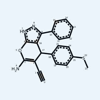 C#CC1=C(N)Oc2[nH]nc(-c3ccccc3)c2C1c1ccc(SC)cc1